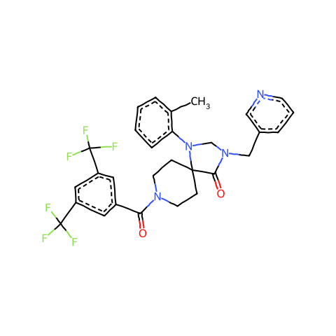 Cc1ccccc1N1CN(Cc2cccnc2)C(=O)C12CCN(C(=O)c1cc(C(F)(F)F)cc(C(F)(F)F)c1)CC2